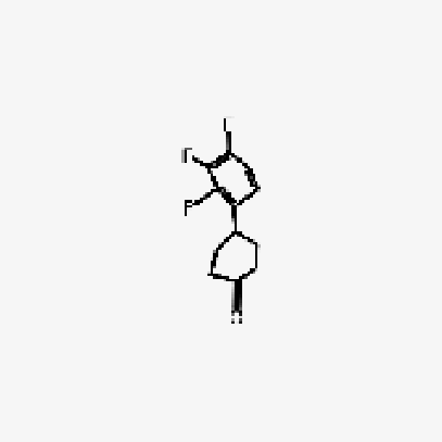 O=C1CCC(c2ccc(F)c(F)c2F)CC1